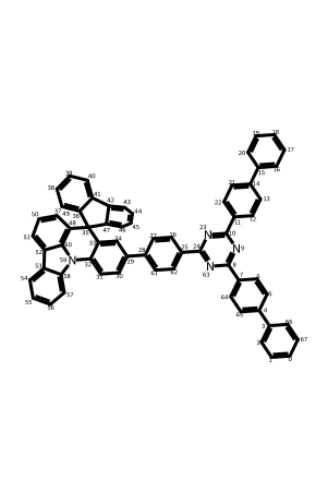 c1ccc(-c2ccc(-c3nc(-c4ccc(-c5ccccc5)cc4)nc(-c4ccc(-c5ccc6c(c5)C5(c7ccccc7-c7ccccc75)c5cccc7c8ccccc8n-6c57)cc4)n3)cc2)cc1